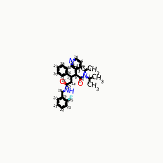 CC(C)N(C(=O)C(c1cccnc1)C(CC(=O)NCc1ccccc1F)c1ccccc1)C(C)C